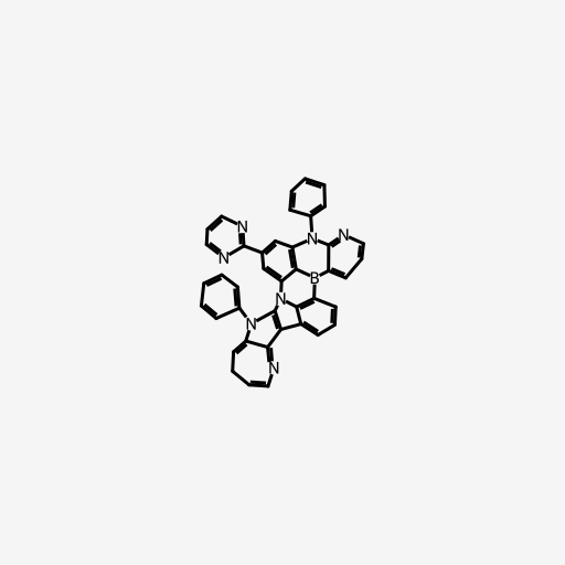 C1=CN=c2c(n(-c3ccccc3)c3c2c2cccc4c2n3-c2cc(-c3ncccn3)cc3c2B4c2cccnc2N3c2ccccc2)=CC1